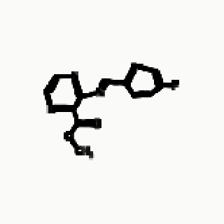 COC(=O)c1nccnc1N=Cc1ccc(F)cc1